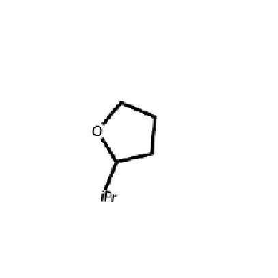 [CH2]C(C)C1CCCO1